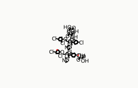 Clc1ccc(OCC2COC(Cn3ccnc3)(c3ccc(Cl)cc3Cl)O2)c(Cl)c1.Clc1ccc(OCC2COC(Cn3ccnc3)(c3ccc(Cl)cc3Cl)O2)c(Cl)c1.O=C(O)C(=O)O.O=C(O)C(=O)O.O=C(O)C(=O)O